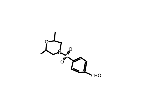 CC1CN(S(=O)(=O)c2ccc(C=O)cc2)CC(C)O1